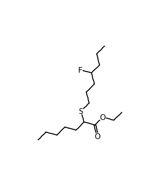 CCCCCC(SCCCC(F)CCC)C(=O)OCC